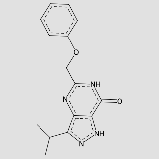 CC(C)c1n[nH]c2c(=O)[nH]c(COc3ccccc3)nc12